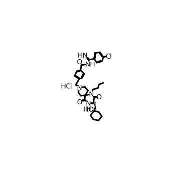 CCCCN1C(=O)[C@@H](CC2(O)CCCCC2)NC(=O)C12CCN(Cc1ccc(C(=O)NC(=N)c3ccc(Cl)cc3)cc1)CC2.Cl